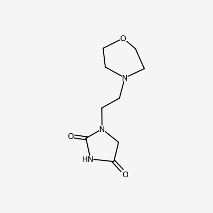 O=C1CN(CCN2CCOCC2)C(=O)N1